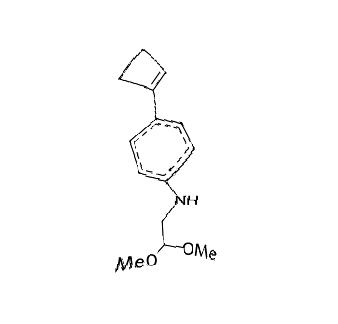 COC(CNc1ccc(C2=CCC2)cc1)OC